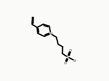 C=Cc1cc[n+](CCCCS(=O)(=O)[O-])cc1